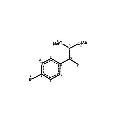 COP(OC)C(C)c1ccc(Br)nc1